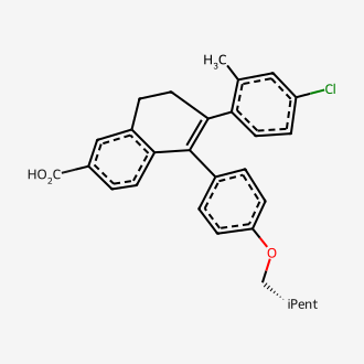 CCC[C@@H](C)COc1ccc(C2=C(c3ccc(Cl)cc3C)CCc3cc(C(=O)O)ccc32)cc1